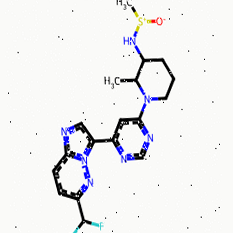 CC1C(N[S+](C)[O-])CCCN1c1cc(-c2cnc3ccc(C(F)F)nn23)ncn1